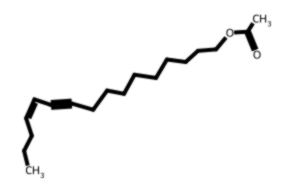 CCC/C=C\C#CCCCCCCCCCOC(C)=O